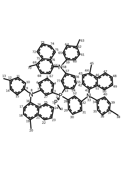 CP=P(c1cccc(N(c2ccc(C)cc2)c2ccc(C)c3ccccc23)c1)(c1cccc(N(c2ccc(C)cc2)c2ccc(C)c3ccccc23)c1)c1cccc(N(c2ccc(C)cc2)c2ccc(C)c3ccccc23)c1